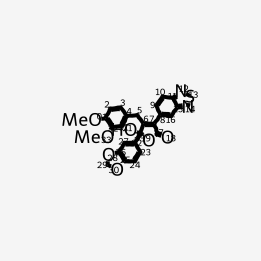 COc1ccc(CC2=C(c3ccc4nsnc4c3)C(=O)OC2(O)c2ccc3c(c2)OCO3)cc1OC